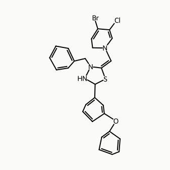 ClC1=CN(C=C2SC(c3cccc(Oc4ccccc4)c3)NN2Cc2ccccc2)CC=C1Br